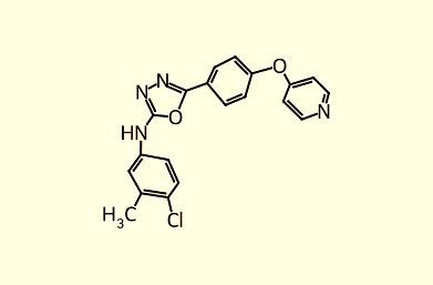 Cc1cc(Nc2nnc(-c3ccc(Oc4ccncc4)cc3)o2)ccc1Cl